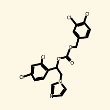 O=C(OCc1ccc(Cl)c(Cl)c1)OC(Cn1ccnc1)c1ccc(Cl)cc1Cl